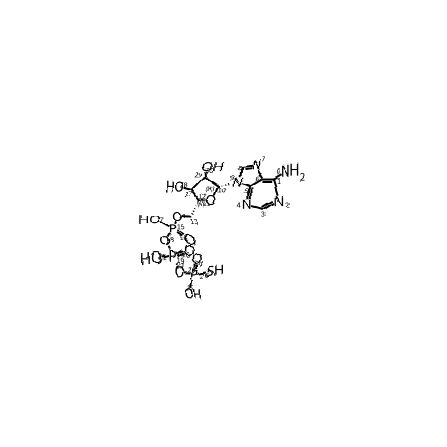 Nc1ncnc2c1ncn2[C@@H]1O[C@H](COP(=O)(O)OP(=O)(O)OP(=O)(O)S)C(O)C1O